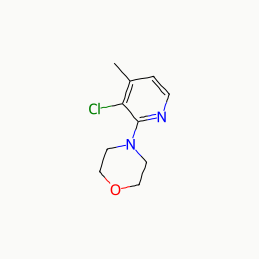 Cc1ccnc(N2CCOCC2)c1Cl